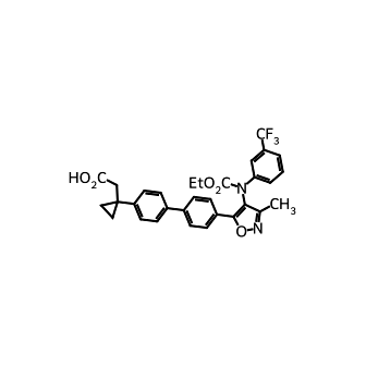 CCOC(=O)N(c1cccc(C(F)(F)F)c1)c1c(C)noc1-c1ccc(-c2ccc(C3(CC(=O)O)CC3)cc2)cc1